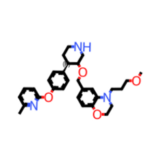 COCCCN1CCOc2ccc(COC3CNCC[C@@H]3c3ccc(Oc4cccc(C)n4)cc3)cc21